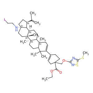 C=C(C)[C@@H]1CC[C@]2(NCCI)CC[C@]3(C)[C@H](CCC4[C@@]5(C)CC=C(C6=CCC(COc7nsc(SC)n7)(C(=O)OCC)CC6)C(C)(C)C5CC[C@]43C)C12